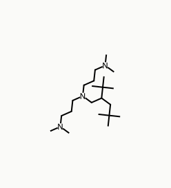 CN(C)CCCN(CCCN(C)C)CC(CC(C)(C)C)C(C)(C)C